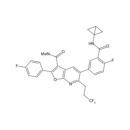 CNC(=O)c1c(-c2ccc(F)cc2)oc2nc(CCC(F)(F)F)c(-c3ccc(F)c(C(=O)NC45CC4C5)c3)cc12